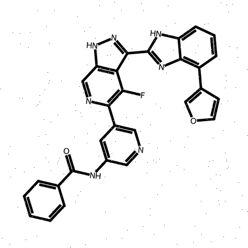 O=C(Nc1cncc(-c2ncc3[nH]nc(-c4nc5c(-c6ccoc6)cccc5[nH]4)c3c2F)c1)c1ccccc1